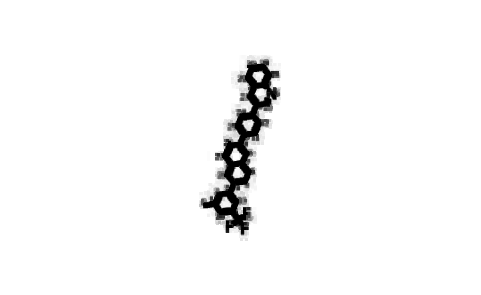 Cc1cc(-c2ccc3cc(-c4ccc(-c5cnc6ccccc6c5)cc4)ccc3c2)cc(C(F)(F)F)c1